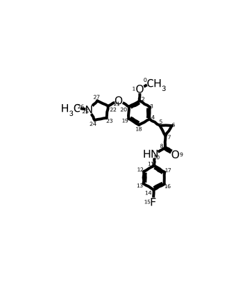 COc1cc(C2CC2C(=O)Nc2ccc(F)cc2)ccc1OC1CCN(C)C1